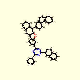 c1ccc(-c2nc(-c3ccc4ccccc4c3)nc(-c3ccc4c(c3)oc3c(-c5ccc6c(ccc7ccccc76)c5)c5ccccc5cc34)n2)cc1